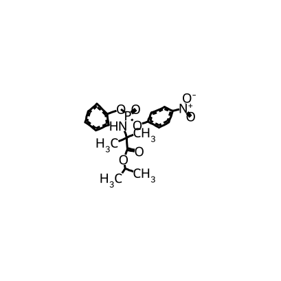 CC(C)OC(=O)C(C)(C)NP(=O)(Oc1ccccc1)Oc1ccc([N+](=O)[O-])cc1